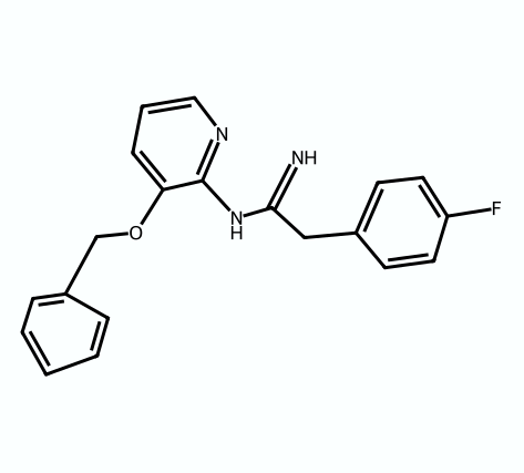 N=C(Cc1ccc(F)cc1)Nc1ncccc1OCc1ccccc1